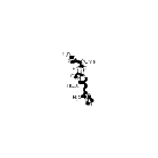 CO/N=C(\C(=O)N[C@@H]1C(=O)N2C(C(=O)O)=C(C=Cc3sc4cncn4c3C)CS[C@H]12)c1csc(N)n1